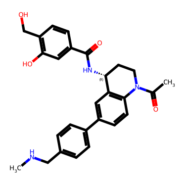 CNCc1ccc(-c2ccc3c(c2)[C@H](NC(=O)c2ccc(CO)c(O)c2)CCN3C(C)=O)cc1